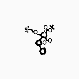 COC(=O)C1=C(c2cccc(-c3ccccc3)c2)C(COCC[Si](C)(C)C)CN(C(=O)OC(C)(C)C)C1